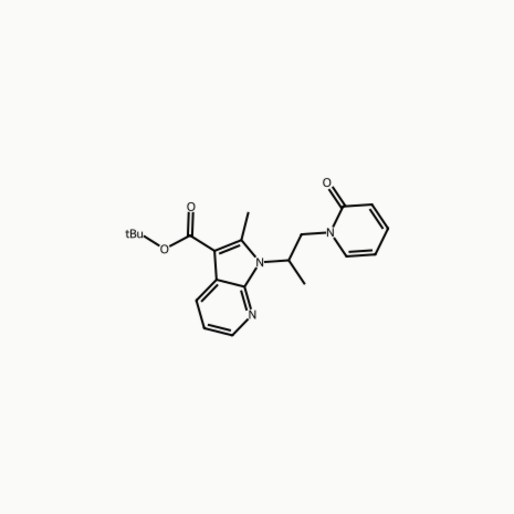 Cc1c(C(=O)OC(C)(C)C)c2cccnc2n1C(C)Cn1ccccc1=O